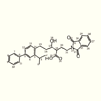 CC(C)c1cc(-c2ccccc2)ccc1CCC(O)C(CCN1C(=O)c2ccccc2C1=O)C(=O)O